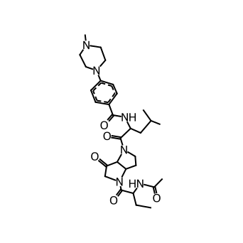 CCC(NC(C)=O)C(=O)N1CC(=O)C2C1CCN2C(=O)C(CC(C)C)NC(=O)c1ccc(N2CCN(C)CC2)cc1